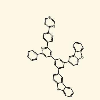 c1ccc(-c2cc(-c3cc(-c4ccc5oc6ccccc6c5c4)cc(-c4ccc5oc6ccccc6c5c4)c3)nc(-c3ccc(-c4ncncn4)cc3)n2)cc1